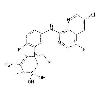 CC1(C)C(N)=N[C@@](CF)(c2cc(Nc3ncc(F)c4cc(Cl)cnc34)ccc2F)CS1(O)O